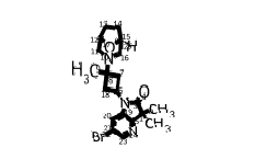 CC1(C)C(=O)N(C2CC(C)(N3CC4CC[C@@H](C3)O4)C2)c2cc(Br)cnc21